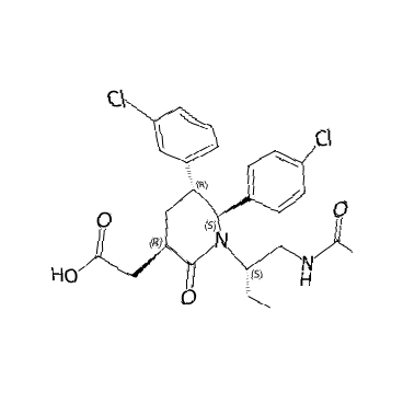 CC[C@@H](CNC(C)=O)N1C(=O)[C@@H](CC(=O)O)C[C@H](c2cccc(Cl)c2)[C@H]1c1ccc(Cl)cc1